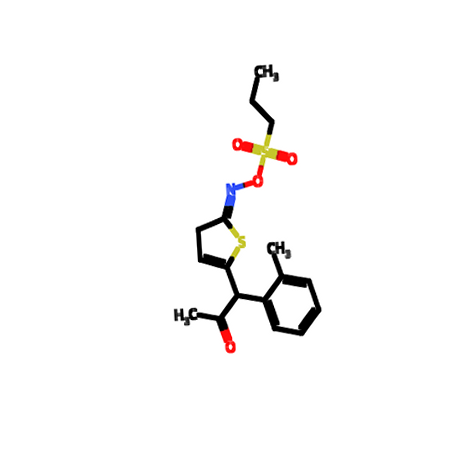 CCCS(=O)(=O)ON=C1CC=C(C(C(C)=O)c2ccccc2C)S1